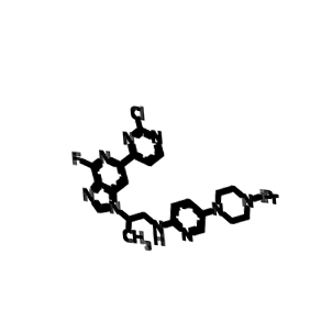 CC(C)N1CCN(c2ccc(NCC(C)n3cnc4c(F)nc(-c5ccnc(Cl)n5)cc43)nc2)CC1